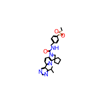 CCS(=O)(=O)c1ccc(CNC(=O)N2CC3(CCCC3)c3nc(-c4cncnc4C(C)C)ccc32)cc1